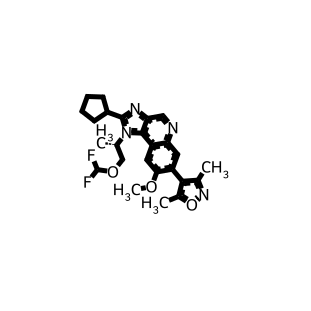 COc1cc2c(cc1-c1c(C)noc1C)ncc1nc(C3CCCC3)n([C@@H](C)COC(F)F)c12